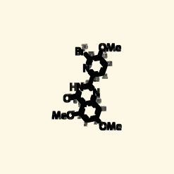 COc1cc(OC)c2c(=O)[nH]c(-c3ccc(OC)c(Br)n3)nc2c1